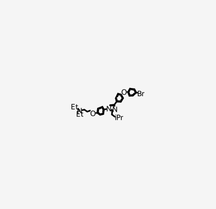 CCN(CC)CCCOc1ccc(-n2cc(-c3ccc(Oc4ccc(Br)cc4)cc3)nc2CC(C)C)cc1